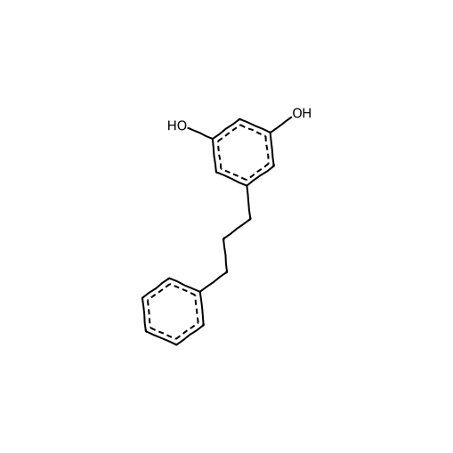 Oc1cc(O)cc(CCCc2ccccc2)c1